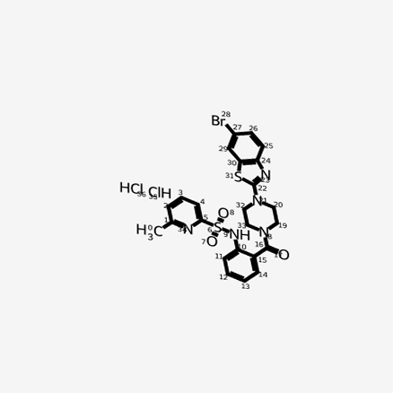 Cc1cccc(S(=O)(=O)Nc2ccccc2C(=O)N2CCN(c3nc4ccc(Br)cc4s3)CC2)n1.Cl.Cl